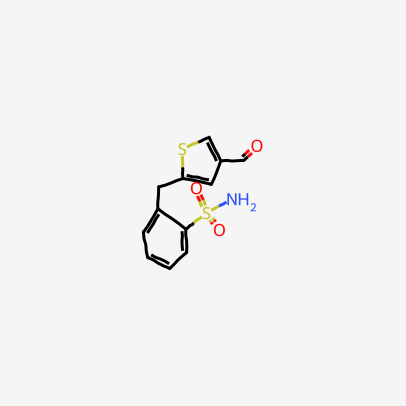 NS(=O)(=O)c1ccccc1Cc1cc(C=O)cs1